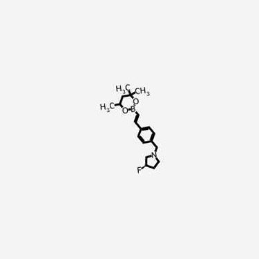 CC1CC(C)(C)OB(C=Cc2ccc(CN3CC[C@@H](F)C3)cc2)O1